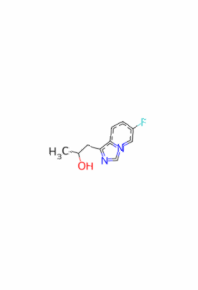 CC(O)Cc1ncn2cc(F)ccc12